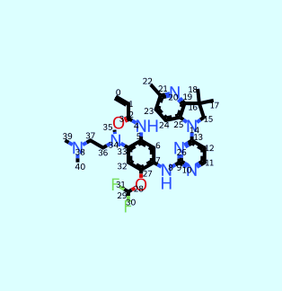 C=CC(=O)Nc1cc(Nc2nccc(N3CC(C)(C)c4nc(C)ccc43)n2)c(OC(F)F)cc1N(C)CCN(C)C